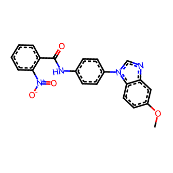 COc1ccc2c(c1)ncn2-c1ccc(NC(=O)c2ccccc2[N+](=O)[O-])cc1